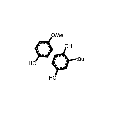 CC(C)(C)c1cc(O)ccc1O.COc1ccc(O)cc1